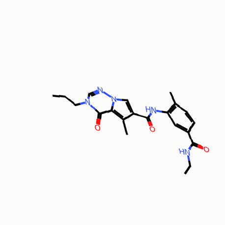 CCCn1cnn2cc(C(=O)Nc3cc(C(=O)NCC)ccc3C)c(C)c2c1=O